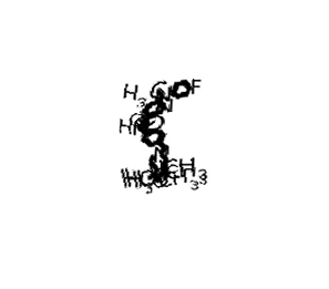 CN(c1ccc(F)cc1)c1ccc(S(=O)(=O)Nc2ccc(CN3CCN(C(=O)O)[C@@](C)(C(C)(C)C)C3)cc2)cn1